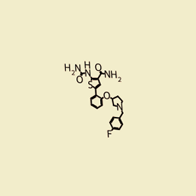 NC(=O)Nc1sc(-c2ccccc2OC2CCN(Cc3ccc(F)cc3)C2)cc1C(N)=O